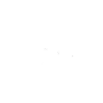 CCCNc1nc(O)c(Cl)cc1C(=O)OC